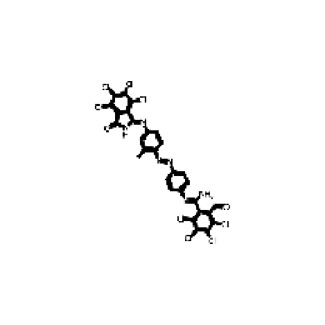 Cc1cc(/N=C2\NC(=O)c3c(Cl)c(Cl)c(Cl)c(Cl)c32)ccc1/N=N/c1ccc(/N=C(\N)c2c(Cl)c(Cl)c(Cl)c(Cl)c2C=O)cc1